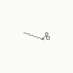 CCCCCCCCCCC[C@@H](C)CC(=O)Cl